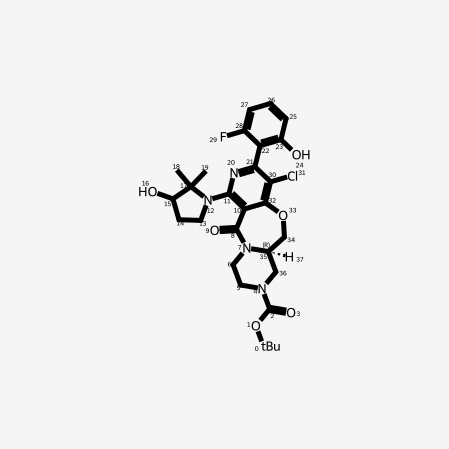 CC(C)(C)OC(=O)N1CCN2C(=O)c3c(N4CCC(O)C4(C)C)nc(-c4c(O)cccc4F)c(Cl)c3OC[C@H]2C1